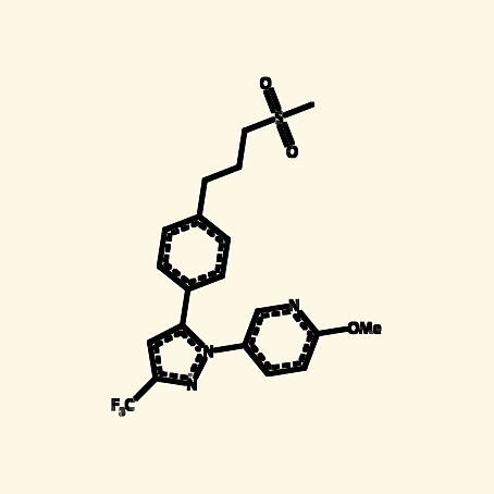 COc1ccc(-n2nc(C(F)(F)F)cc2-c2ccc(CCCS(C)(=O)=O)cc2)cn1